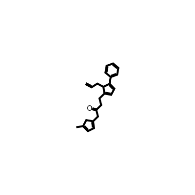 C=CCC1C(CCC(=O)CC2=CC=C(C)C2)=CC=C1c1ccccc1